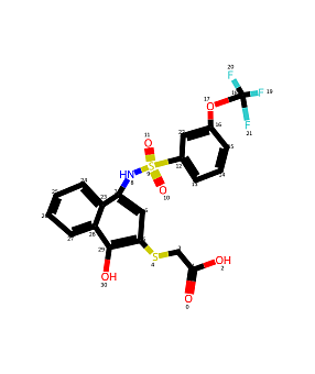 O=C(O)CSc1cc(NS(=O)(=O)c2cccc(OC(F)(F)F)c2)c2ccccc2c1O